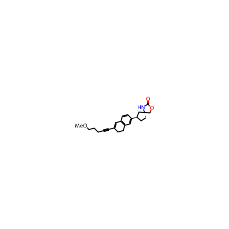 COCCCC#CC1=Cc2ccc([C@@H]3CC[C@]4(COC(=O)N4)C3)cc2CC1